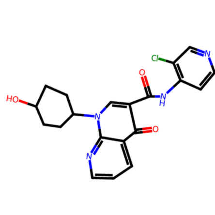 O=C(Nc1ccncc1Cl)c1cn(C2CCC(O)CC2)c2ncccc2c1=O